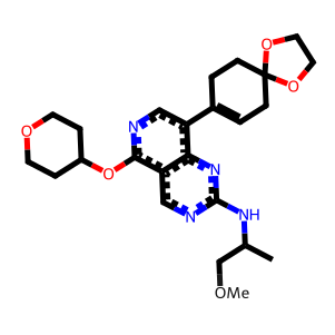 COCC(C)Nc1ncc2c(OC3CCOCC3)ncc(C3=CCC4(CC3)OCCO4)c2n1